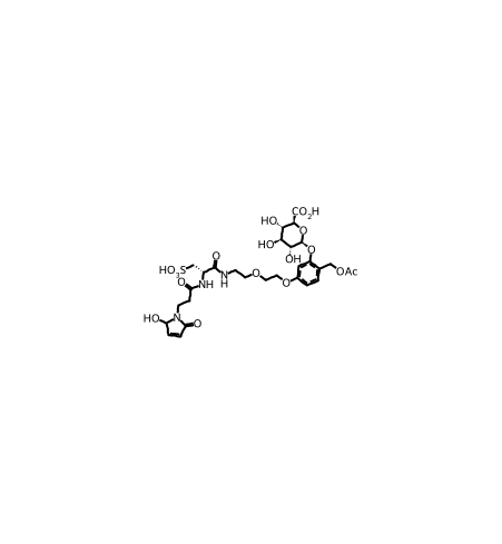 CC(=O)OCc1ccc(OCCOCCNC(=O)[C@@H](CS(=O)(=O)O)NC(=O)CCN2C(=O)C=CC2O)cc1O[C@@H]1O[C@H](C(=O)O)[C@@H](O)[C@H](O)[C@H]1O